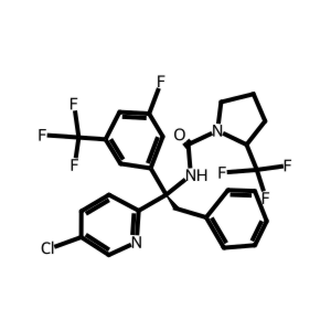 O=C(N[C@@](Cc1ccccc1)(c1cc(F)cc(C(F)(F)F)c1)c1ccc(Cl)cn1)N1CCCC1C(F)(F)F